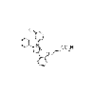 O=C(O)CCCOc1ccccc1-c1cc(-c2ccccc2)n(-c2cccc(Cl)c2)n1